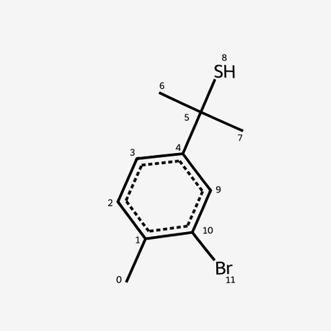 Cc1ccc(C(C)(C)S)cc1Br